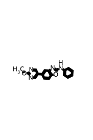 COc1ncc(-c2ccc3oc(Nc4ccccc4)nc3c2)cn1